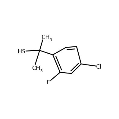 CC(C)(S)c1ccc(Cl)cc1F